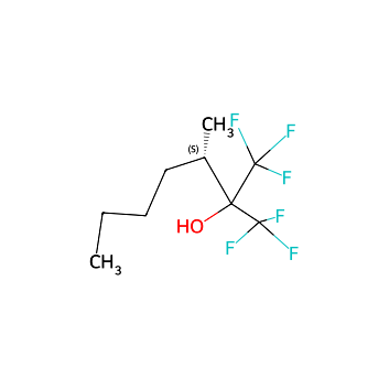 CCCC[C@H](C)C(O)(C(F)(F)F)C(F)(F)F